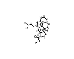 COC(=O)C1CC[C@H]2[C@@H]3CCC4CC=CC[C@]4(C)[C@@H]3C(NCCC(C)C)C[C@]12C